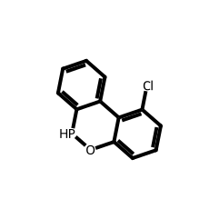 Clc1cccc2c1-c1ccccc1PO2